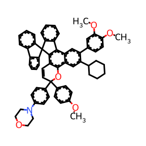 COc1ccc(C2(c3ccc(N4CCOCC4)cc3)C=Cc3c4c(c5cc(-c6ccc(OC)c(OC)c6)c(C6CCCCC6)cc5c3O2)-c2ccccc2C42c3ccccc3-c3ccccc32)cc1